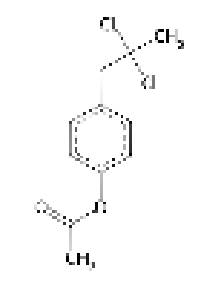 CC(=O)Oc1ccc(CC(C)(Cl)Cl)cc1